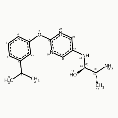 CC(C)c1cccc(Oc2ncc(N[C@H](O)[C@@H](C)N)cn2)c1